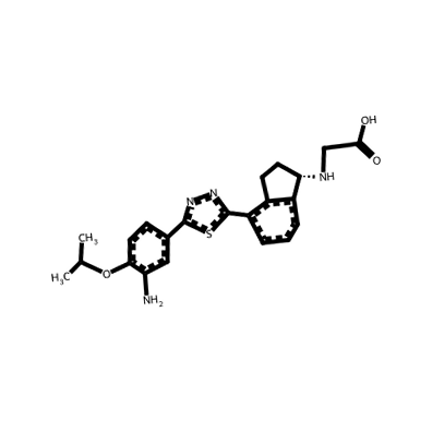 CC(C)Oc1ccc(-c2nnc(-c3cccc4c3CC[C@@H]4NCC(=O)O)s2)cc1N